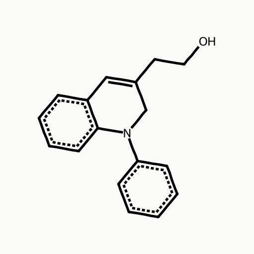 OCCC1=Cc2ccccc2N(c2ccccc2)C1